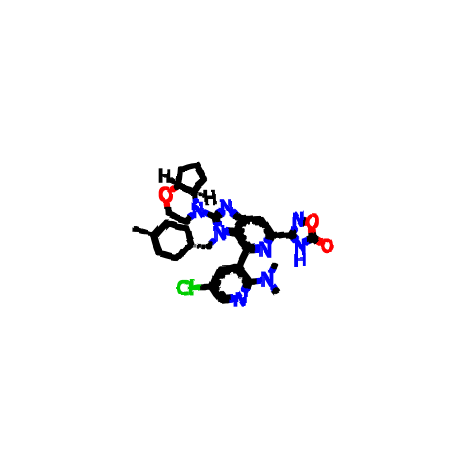 CN(C)c1ncc(Cl)cc1-c1nc(-c2noc(=O)[nH]2)cc2nc(N3CCO[C@@H]4CCC[C@H]43)n(C[C@H]3CC[C@H](C)CC3)c12